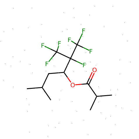 CC(C)CC(OC(=O)C(C)C)C(F)(C(F)(F)F)C(F)(F)F